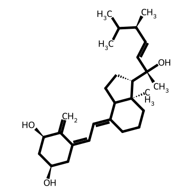 C=C1C(=CC=C2CCC[C@@]3(C)C2CC[C@@H]3[C@@](C)(O)C=C[C@H](C)C(C)C)C[C@@H](O)C[C@H]1O